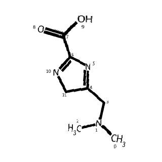 CN(C)CC1=NC(C(=O)O)=NC1